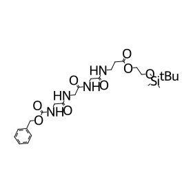 CC(C)(C)[Si](C)(C)OCCOC(=O)CCNC(=O)CNC(=O)CNC(=O)CNC(=O)OCc1ccccc1